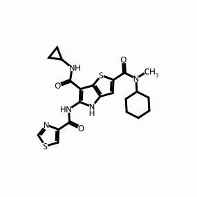 CN(C(=O)c1cc2[nH]c(NC(=O)c3cscn3)c(C(=O)NC3CC3)c2s1)C1CCCCC1